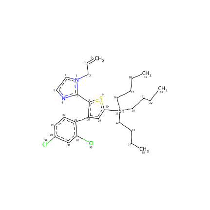 C=CCn1ccnc1-c1s[c]([Sn]([CH2]CCC)([CH2]CCC)[CH2]CCC)cc1-c1ccc(Cl)cc1Cl